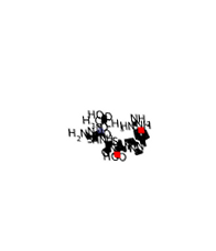 CC(C)(O/N=C(\C(=O)N[C@@H]1C(=O)N2C(C(=O)O)=C(C[n+]3ccc4n(Cc5ccc(NC(=N)N)cc5)ccn43)CS[C@H]12)c1csc(N)n1)C(=O)O